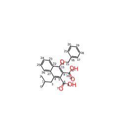 CC(C)Cc1c(C(=O)O)c(C(=O)O)c(OCc2ccccc2)c2ccccc12